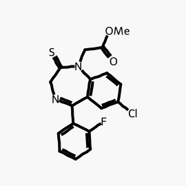 COC(=O)CN1C(=S)CN=C(c2ccccc2F)c2cc(Cl)ccc21